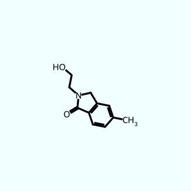 Cc1ccc2c(c1)CN(CCO)C2=O